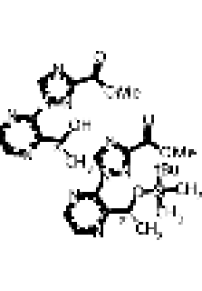 COC(=O)c1ncn(-c2nccnc2[C@@H](C)O)n1.COC(=O)c1ncn(-c2nccnc2[C@@H](C)O[Si](C)(C)C(C)(C)C)n1